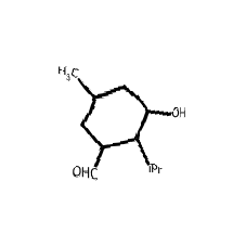 CC1CC(O)C(C(C)C)C(C=O)C1